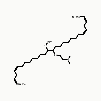 CCCCC/C=C\C/C=C\CCCCCCCC(OCCC)C(CCCCCCC/C=C\C/C=C\CCCCC)OCCN(C)C